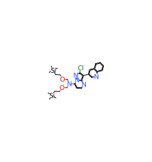 C[Si](C)(C)CCOCN(COCC[Si](C)(C)C)c1ccnc2c(-c3cnc4ccccc4c3)c(Cl)nn12